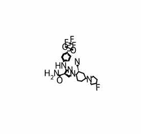 N#C[C@H]1CC(N2CC[C@H](F)C2)CC[C@@H]1n1cc(C(N)=O)c(Nc2ccc(S(=O)(=O)C(F)(F)F)cc2)n1